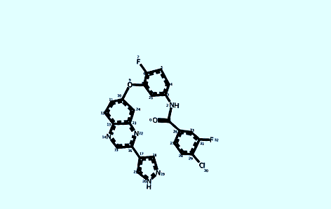 O=C(Nc1ccc(F)c(Oc2ccc3ncc(-c4cn[nH]c4)nc3c2)c1)c1ccc(Cl)c(F)c1